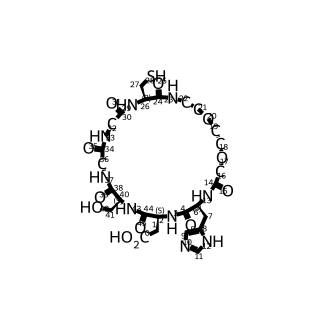 O=C(O)C[C@@H]1NC(=O)[C@H](Cc2cnc[nH]2)NC(=O)COCCOCCNC(=O)[C@H](CS)NC(=O)CNC(=O)CNC(=O)[C@H](CO)NC1=O